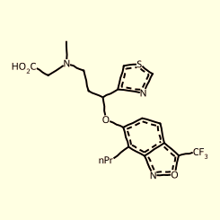 CCCc1c(OC(CCN(C)CC(=O)O)c2cscn2)ccc2c(C(F)(F)F)onc12